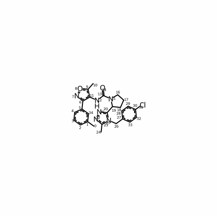 Cc1cccc(-c2noc(C)c2NC(=O)N2CCCC2c2nnc(C)n2Cc2ccc(Cl)cc2)c1